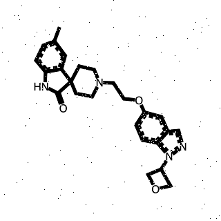 Cc1ccc2c(c1)C1(CCN(CCOc3ccc4c(cnn4C4COC4)c3)CC1)C(=O)N2